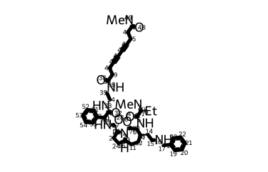 CC[C@H](NC)C(=O)N[C@@H]1C(=O)N2[C@@H](CC[C@@H]1CCNCc1ccccc1)CC[C@H]2C(=O)N[C@H](C(=O)NCCNC(=O)CCC#CC#CCCC(=O)NC)c1ccccc1